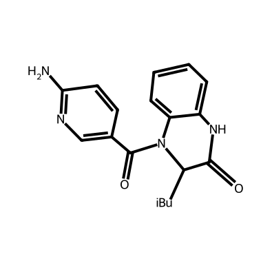 CCC(C)C1C(=O)Nc2ccccc2N1C(=O)c1ccc(N)nc1